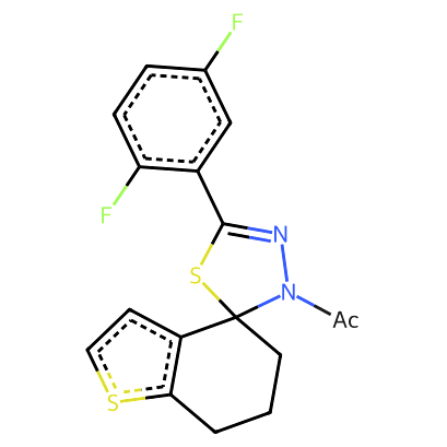 CC(=O)N1N=C(c2cc(F)ccc2F)SC12CCCc1sccc12